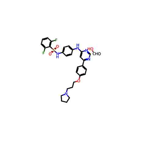 O=CO.O=S(=O)(Nc1ccc(Nc2cc(-c3ccc(OCCCN4CCCC4)cc3)ncn2)cc1)c1c(F)cccc1F